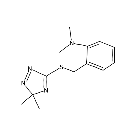 CN(C)c1ccccc1CSC1=NC(C)(C)N=N1